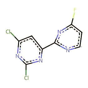 Fc1c[c]nc(-c2cc(Cl)nc(Cl)n2)n1